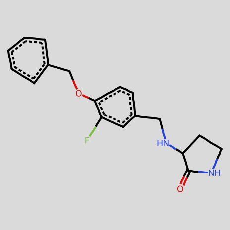 O=C1NCCC1NCc1ccc(OCc2ccccc2)c(F)c1